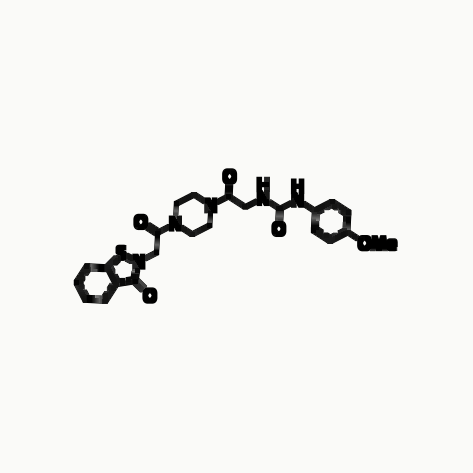 COc1ccc(NC(=O)NCC(=O)N2CCN(C(=O)Cn3sc4ccccc4c3=O)CC2)cc1